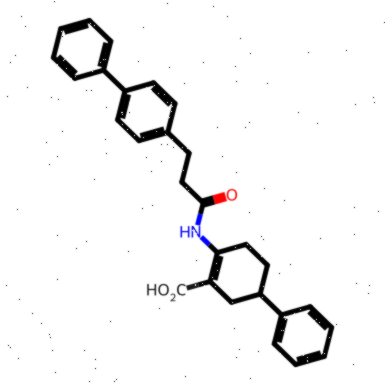 O=C(CCc1ccc(-c2ccccc2)cc1)NC1=C(C(=O)O)CC(c2ccccc2)CC1